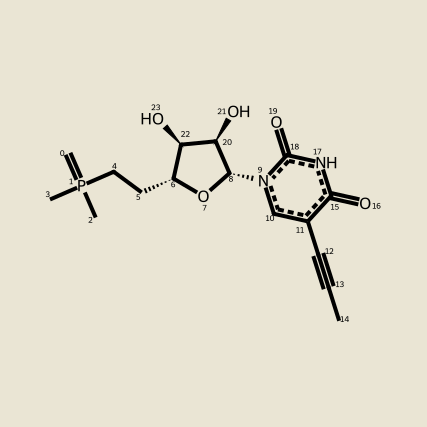 C=P(C)(C)CC[C@H]1O[C@@H](n2cc(C#CC)c(=O)[nH]c2=O)[C@H](O)[C@@H]1O